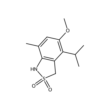 COc1cc(C)c2c(c1C(C)C)CS(=O)(=O)N2